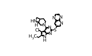 CCc1[nH]c2nc(Sc3cnc4nccnc4c3)nc(N3CCC4CN[C@H]4C3)c2c1Cl